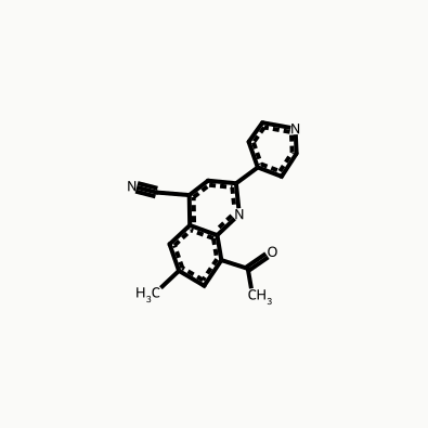 CC(=O)c1cc(C)cc2c(C#N)cc(-c3ccncc3)nc12